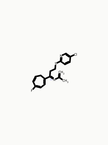 C=C(C)/N=C(\CCSc1ccc(Cl)cn1)C1=CC=C(F)C=CC1